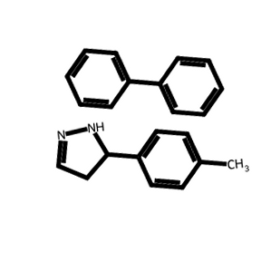 Cc1ccc(C2CC=NN2)cc1.c1ccc(-c2ccccc2)cc1